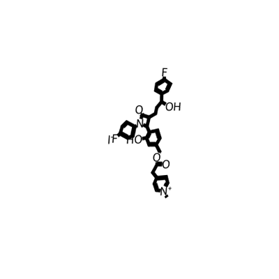 C[n+]1ccc(CC(=O)OCc2ccc(C3C(CCC(O)c4ccc(F)cc4)C(=O)N3c3ccc(F)cc3)c(O)c2)cc1.[I-]